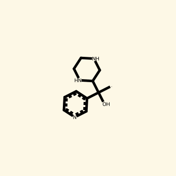 [CH2]C(O)(c1cccnc1)C1CNCCN1